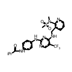 CC(C)C(=O)Nc1ccc(Nc2ncc(C(F)(F)F)c(NCc3cccnc3N(C)S(C)(=O)=O)n2)cc1